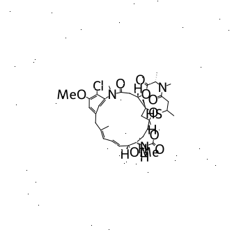 COc1cc2cc(c1Cl)N(C)C(=O)C[C@H](OC(=O)[C@H](C)N(C)C(=O)CC(C)S)[C@@]1(C)CC(C)(O1)[C@@H]1C[C@@H](NC(=O)O1)[C@H](OC)/C=C/C=C(\C)C2